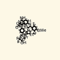 CCOc1cc([C@H](Nc2ccc3c(N)nccc3c2)C(=O)N2CCC[C@@H]2c2cc(NC(=O)OC)ccc2S(=O)(=O)C(C)C)c(F)cc1OC.O=C(O)C(F)(F)F